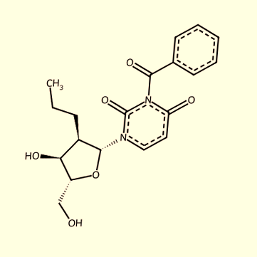 CCC[C@@H]1[C@H](O)[C@@H](CO)O[C@H]1n1ccc(=O)n(C(=O)c2ccccc2)c1=O